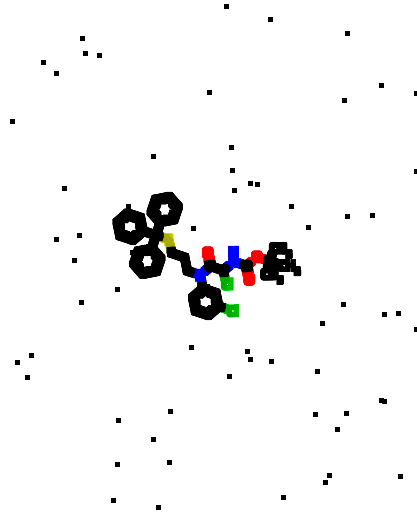 CC(C)(C)OC(=O)NC(Cl)C(=O)N(CCCSC(c1ccccc1)(c1ccccc1)c1ccccc1)c1cccc(Cl)c1